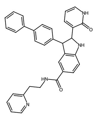 O=C(NCCc1ccccn1)c1ccc2c(c1)C(c1ccc(-c3ccccc3)cc1)C(c1ccc[nH]c1=O)N2